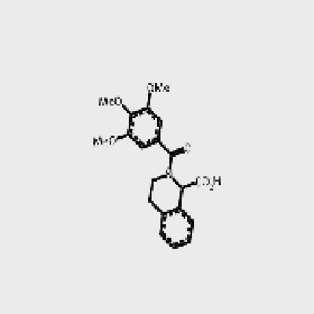 COc1cc(C(=O)N2CCc3ccccc3C2C(=O)O)cc(OC)c1OC